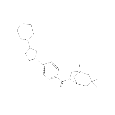 CC1(C)CC2CC(C)(CN2C(=O)c2ccc(N3CCC(N4CCOCC4)C3)cc2)C1